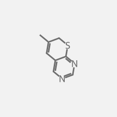 CC1=Cc2cncnc2SC1